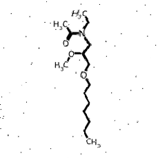 CCCCCCCOCC(CN(CC)C(C)=O)OC